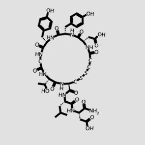 CC(C)C[C@H](NC(=O)[C@@H]1CSSCCC(=O)N[C@@H](CC(=O)O)C(=O)N[C@@H](Cc2ccc(O)cc2)C(=O)N[C@@H](Cc2ccc(O)cc2)C(=O)NCC(=O)N[C@@H](C(C)O)C(=O)N1)C(=O)N[C@@H](CC(=O)O)C(N)=O